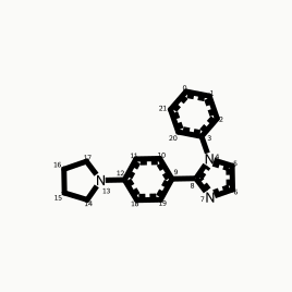 [c]1ccc(-n2ccnc2-c2ccc(N3CCCC3)cc2)cc1